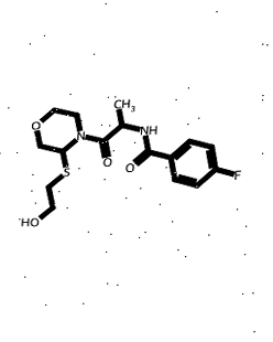 CC(NC(=O)c1ccc(F)cc1)C(=O)N1CCOCC1SCCO